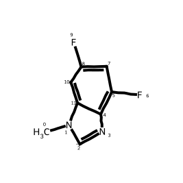 Cn1[c]nc2c(F)cc(F)cc21